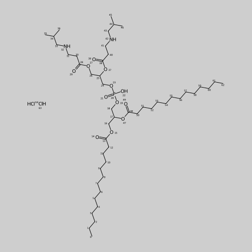 CCCCCCCCCCCCCC(=O)OCC(COP(=O)(O)OCC(COC(=O)CCNCC(C)C)OC(=O)CCNCC(C)C)OC(=O)CCCCCCCCCCCCC.Cl.Cl